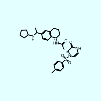 Cc1ccc(S(=O)(=O)N2C=CNC(=O)[C@H]2CC(=O)N[C@@H]2CCCc3cc(C(C)NC4CCCC4)ccc32)cc1